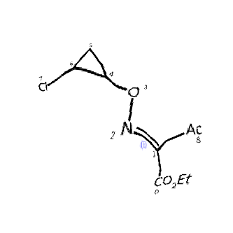 CCOC(=O)/C(=N/OC1CC1Cl)C(C)=O